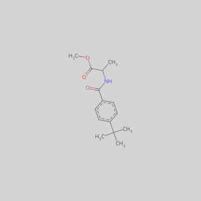 COC(=O)C(C)NC(=O)c1ccc(C(C)(C)C)cc1